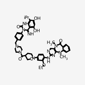 CCOc1cc(N2CCC(C(=O)N3CCN(Cc4ccc(N(C(=N)c5cc(C(C)C)c(O)cc5O)C(N)=O)cc4)CC3)CC2)ccc1Nc1ncc2c(n1)N(C)c1ccccc1C(=O)N2C